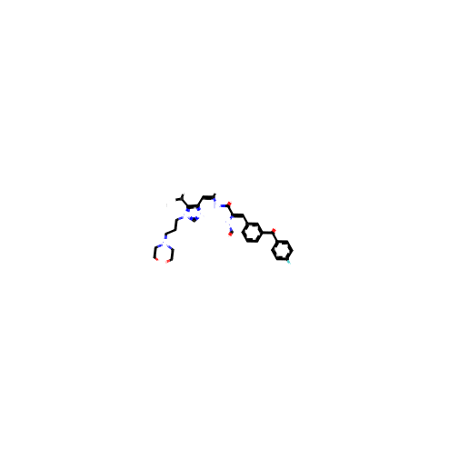 C/C(=C/c1ncn(CCCN2CCOCC2)c1C(C)C)NC(=O)/C(=C/c1cccc(C(=O)c2ccc(F)cc2)c1)NC=O